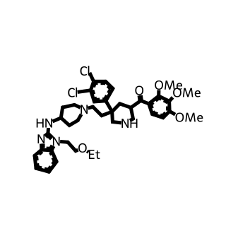 CCOCCn1c(NC2CCN(CCC3(c4ccc(Cl)c(Cl)c4)CNCC(C(=O)c4ccc(OC)c(OC)c4OC)C3)CC2)nc2ccccc21